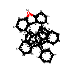 CC(C)(C)c1c2ccccc2c(-c2cccc3oc4cccc(-c5c6ccccc6c(-c6ccccc6)c6ccccc56)c4c23)c2ccccc12